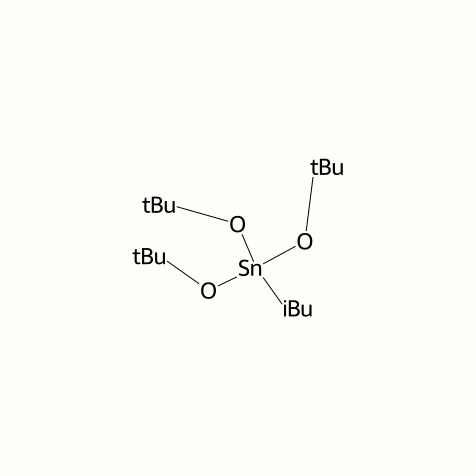 CC[CH](C)[Sn]([O]C(C)(C)C)([O]C(C)(C)C)[O]C(C)(C)C